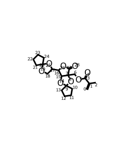 C=C(C)C(=O)OCC12OC3(CCCC3)OC1C(C1COC3(CCCC3)O1)OC2=O